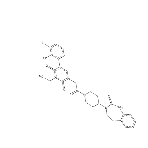 N#CCn1c(=O)c(-c2cccc(F)c2Cl)cn(CC(=O)N2CCC(N3CCc4ccccc4NC3=O)CC2)c1=O